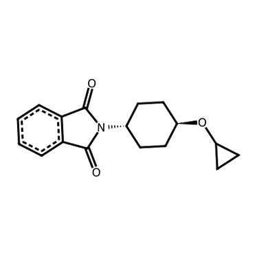 O=C1c2ccccc2C(=O)N1[C@H]1CC[C@H](OC2CC2)CC1